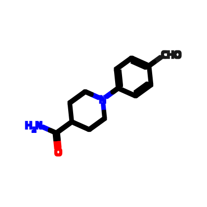 NC(=O)C1CCN(c2ccc(C=O)cc2)CC1